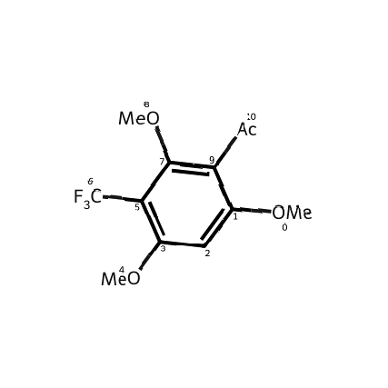 COc1cc(OC)c(C(F)(F)F)c(OC)c1C(C)=O